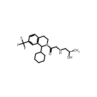 C[C@@H](O)CNCC(=O)N1CCc2ccc(C(F)(F)F)cc2C1C1CCCCC1